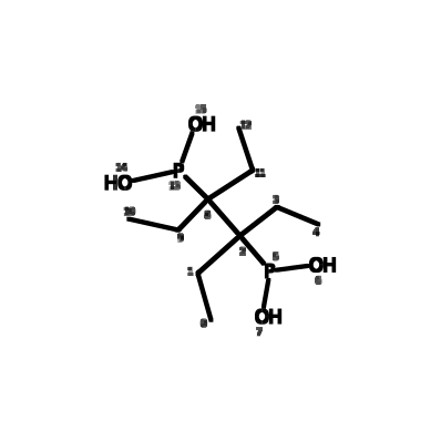 CCC(CC)(P(O)O)C(CC)(CC)P(O)O